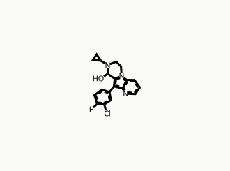 OC1c2c(-c3ccc(F)c(Cl)c3)c3ncccc3n2CCN1C1CC1